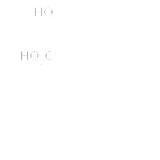 O=C(O)C1(c2ccccc2)CCCCC1O